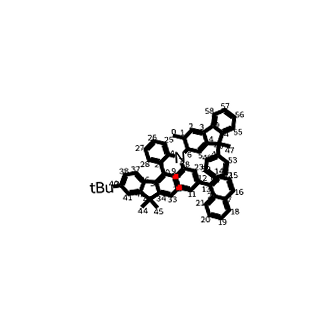 CC1C=C2C(=CC1N(c1cccc(-c3cccc4ccccc34)c1)c1ccccc1-c1cccc3c1-c1ccc(C(C)(C)C)cc1C3(C)C)C(C)(c1ccccc1)c1ccccc12